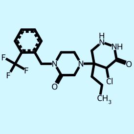 CCCC1(N2CCN(Cc3ccccc3C(F)(F)F)C(=O)C2)CNNC(=O)C1Cl